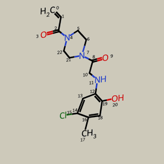 C=CC(=O)N1CCN(C(=O)CNc2cc(Cl)c(C)cc2O)CC1